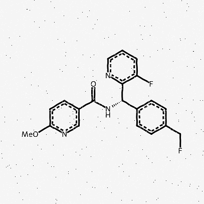 COc1ccc(C(=O)N[C@@H](c2ccc(CF)cc2)c2ncccc2F)cn1